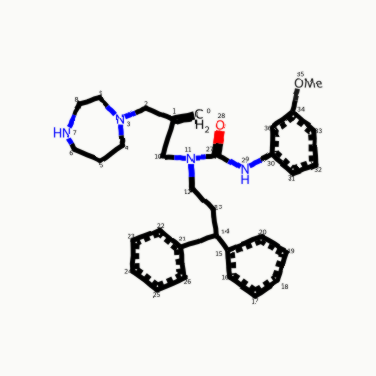 C=C(CN1CCCNCC1)CN(CCC(c1ccccc1)c1ccccc1)C(=O)Nc1cccc(OC)c1